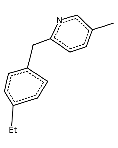 CCc1ccc(Cc2ccc(C)cn2)cc1